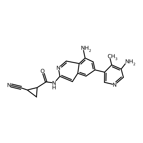 Cc1c(N)cncc1-c1cc(N)c2cnc(NC(=O)C3CC3C#N)cc2c1